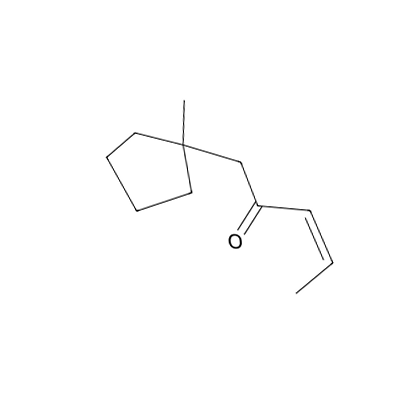 C/C=C\C(=O)CC1(C)CCCC1